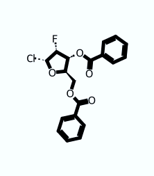 O=C(OC[C@H]1O[C@H](Cl)[C@H](F)[C@@H]1OC(=O)c1ccccc1)c1ccccc1